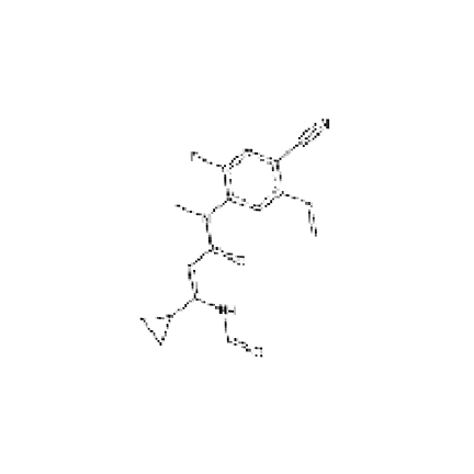 C=Cc1cc(N(C)C(=O)/C=C(\NC=O)C2CC2)c(F)cc1C#N